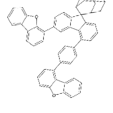 c1cc(-c2ccc(-c3cccc4oc5ccccc5c34)cc2)c2c(c1)C1(c3ccc(-c4cccc5c4oc4ccccc45)cc3-2)C2CC3CC(C2)CC1C3